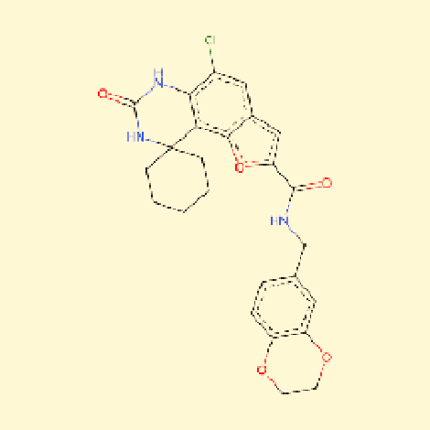 O=C1Nc2c(Cl)cc3cc(C(=O)NCc4ccc5c(c4)OCCO5)oc3c2C2(CCCCC2)N1